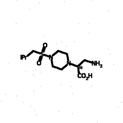 CC(C)CS(=O)(=O)N1CCN([C@@H](CN)C(=O)O)CC1